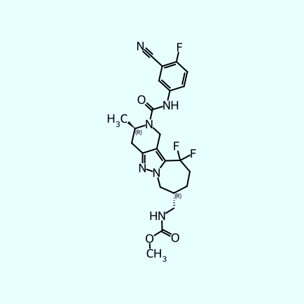 COC(=O)NC[C@H]1CCC(F)(F)c2c3c(nn2C1)C[C@@H](C)N(C(=O)Nc1ccc(F)c(C#N)c1)C3